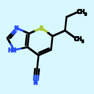 CCC(C)C1C=C(C#N)c2[nH]cnc2S1